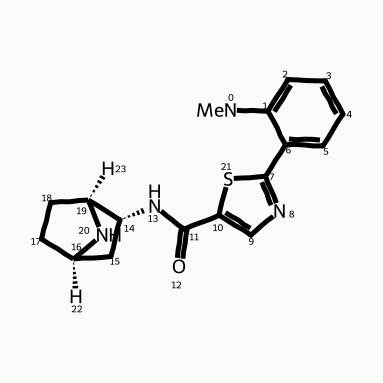 CNc1ccccc1-c1ncc(C(=O)N[C@@H]2C[C@H]3CC[C@@H]2N3)s1